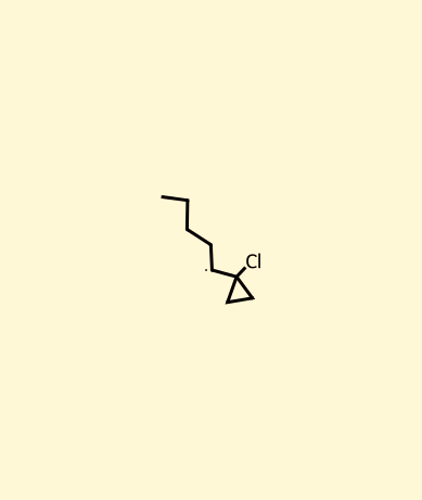 CCCC[CH]C1(Cl)CC1